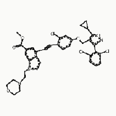 COC(=O)c1cc(C#Cc2ccc(OCc3c(-c4c(Cl)cccc4Cl)noc3C3CC3)cc2Cl)c2ccn(CCN3CCOCC3)c2c1